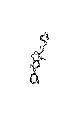 CN(C(=O)COCn1ccnc1)c1cn(-c2cccnc2)nc1Cl